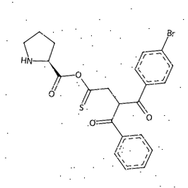 O=C(c1ccccc1)C(CC(=S)OC(=O)[C@@H]1CCCN1)C(=O)c1ccc(Br)cc1